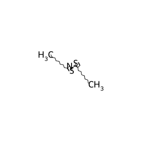 CCCCCCCCc1csc(-c2sccc2CCCCCCCC)n1